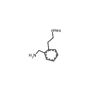 CCCCCCCCc1ccccc1CN